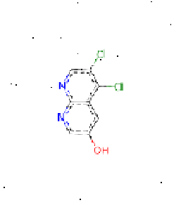 Oc1cnc2ncc(Cl)c(Cl)c2c1